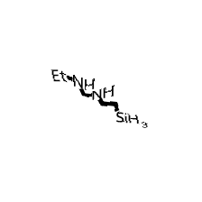 CCNCNCC[SiH3]